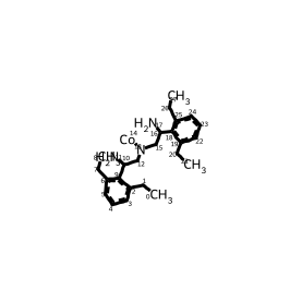 CCc1cccc(CC)c1C(N)C[N]([Co])CC(N)c1c(CC)cccc1CC